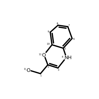 [O]CC1=CNc2ccccc2O1